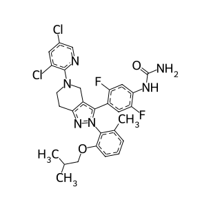 Cc1cccc(OCC(C)C)c1-n1nc2c(c1-c1cc(F)c(NC(N)=O)cc1F)CN(c1ncc(Cl)cc1Cl)CC2